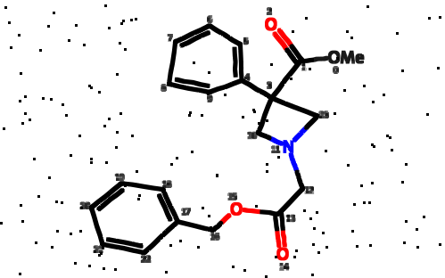 COC(=O)C1(c2ccccc2)CN(CC(=O)OCc2ccccc2)C1